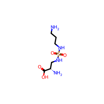 NCCCNS(=O)(=O)NC[C@H](N)C(=O)O